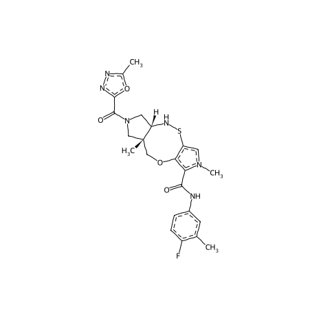 Cc1nnc(C(=O)N2C[C@@H]3NSc4cn(C)c(C(=O)Nc5ccc(F)c(C)c5)c4OC[C@]3(C)C2)o1